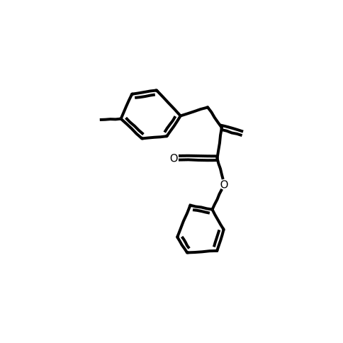 C=C(Cc1ccc(C)cc1)C(=O)Oc1ccccc1